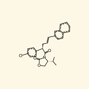 CC(C)[C@@H]1COC(=O)N1C(=O)[C@H](C/C=C/c1ccc2ccccc2c1)c1ccc(Cl)cc1